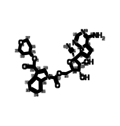 N#C[C@@]1(c2ccc3c(N)ncnn23)O[C@H](COC(=O)n2cc(C(=O)OC3CCOCC3)c3ccccc32)[C@@H](O)[C@H]1O